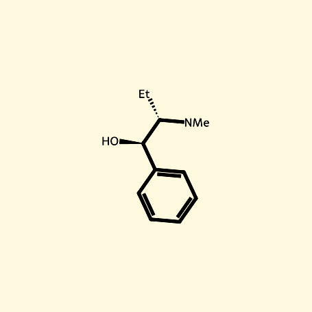 CC[C@H](NC)[C@H](O)c1ccccc1